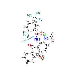 CC(=O)N(Cl)c1ccc2c(c1NC(=O)c1cc(C(F)(F)F)ccc1C(F)(F)F)C(=O)c1ccccc1C2=O